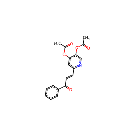 CC(=O)Oc1cnc(/C=C/C(=O)c2ccccc2)cc1OC(C)=O